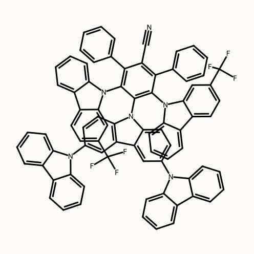 N#Cc1c(-c2ccccc2)c(-n2c3ccccc3c3ccc(C(F)(F)F)cc32)c(-n2c3ccc(-n4c5ccccc5c5ccccc54)cc3c3cc(-n4c5ccccc5c5ccccc54)ccc32)c(-n2c3ccccc3c3ccc(C(F)(F)F)cc32)c1-c1ccccc1